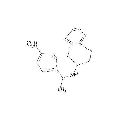 CC(NC1CCc2ccccc2C1)c1ccc([N+](=O)[O-])cc1